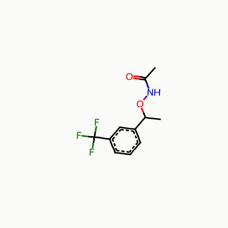 CC(=O)NOC(C)c1cccc(C(F)(F)F)c1